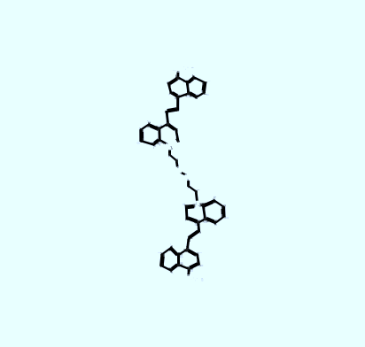 COc1ccc(/C=C/c2cc[n+](CCSSCC[n+]3ccc(/C=C/c4ccc(OC)c5ccccc45)c4ccccc43)c3ccccc23)c2ccccc12